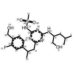 CC(C)CC(CO)Nc1nc(CC(C)c2ccc(CO)c(F)c2)nc(NS(C)(=O)=O)n1